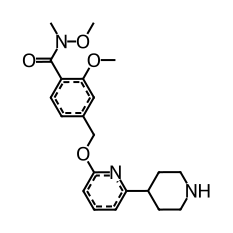 COc1cc(COc2cccc(C3CCNCC3)n2)ccc1C(=O)N(C)OC